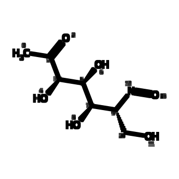 CC(=O)[C@H](O)[C@@H](O)[C@H](O)[C@@H](CO)N=O